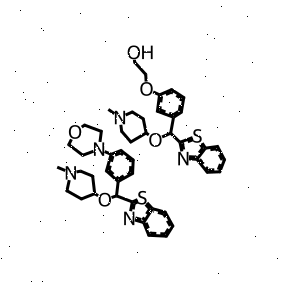 CN1CCC(OC(c2cccc(N3CCOCC3)c2)c2nc3ccccc3s2)CC1.CN1CCC(OC(c2cccc(OCCO)c2)c2nc3ccccc3s2)CC1